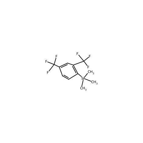 C[Si](C)(C)c1ccc(C(F)(F)F)cc1C(F)(F)F